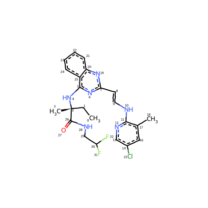 CC[C@@](C)(Nc1nc(/C=C/Nc2ncc(Cl)cc2C)nc2ccccc12)C(=O)NCC(F)F